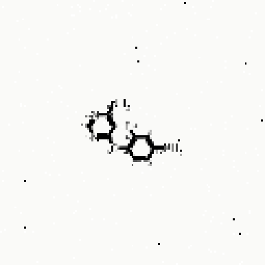 Nc1ccc(Oc2cc(N)ncn2)c(F)c1